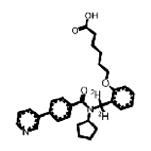 [2H]C([2H])(c1ccccc1OCCCCCC(=O)O)N(C(=O)c1ccc(-c2cccnc2)cc1)C1CCCC1